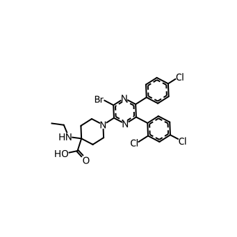 CCNC1(C(=O)O)CCN(c2nc(-c3ccc(Cl)cc3Cl)c(-c3ccc(Cl)cc3)nc2Br)CC1